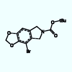 CC(C)(C)OC(=O)N1Cc2cc3c(c(Br)c2C1)OCO3